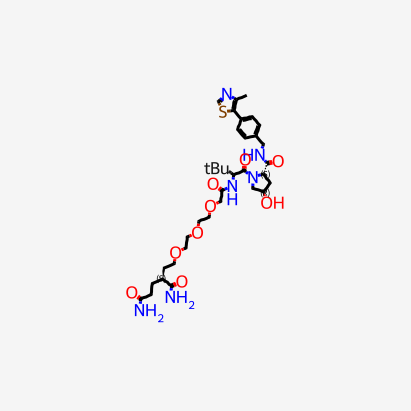 Cc1ncsc1-c1ccc(CNC(=O)[C@@H]2C[C@@H](O)CN2C(=O)C(NC(=O)COCCOCCOCC[C@H](CCC(N)=O)C(N)=O)C(C)(C)C)cc1